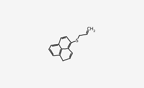 C=CCSc1ccc2cccc3c2c1C=CC3